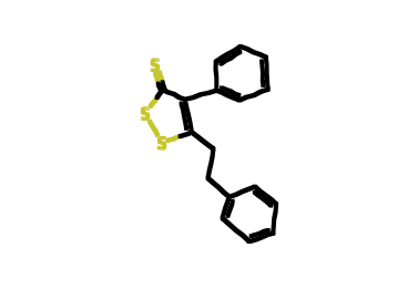 S=c1ssc(CCc2ccccc2)c1-c1ccccc1